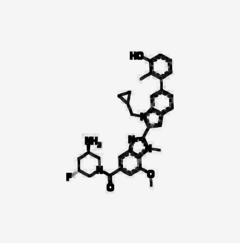 COc1cc(C(=O)N2C[C@H](N)C[C@@H](F)C2)cc2nc(-c3cc4ccc(-c5cccc(O)c5C)cc4n3CC3CC3)n(C)c12